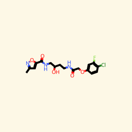 Cc1cc(C(=O)NCC(O)CCNC(=O)COc2ccc(Cl)c(F)c2)on1